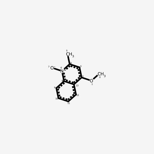 COc1cc(C)[n+]([O-])c2ccccc12